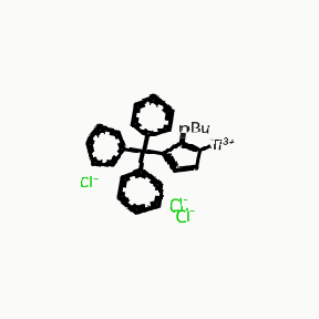 CCCCC1=[C]([Ti+3])CC=C1C(c1ccccc1)(c1ccccc1)c1ccccc1.[Cl-].[Cl-].[Cl-]